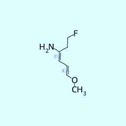 CO/C=C/C=C(/N)CCF